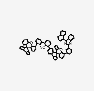 N#CC1C(c2cccc(-c3cccc4c3Oc3ccccc3C43c4ccccc4-c4ccccc43)c2)=CC=CC1c1ccc2c(c1)C1(c3ccccc3Oc3c(-c4cccc(-c5nc(-c6cccc7ccccc67)c6ccccc6n5)c4)cccc31)c1ccccc1-2